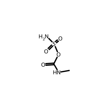 CNC(=O)OS(N)(=O)=O